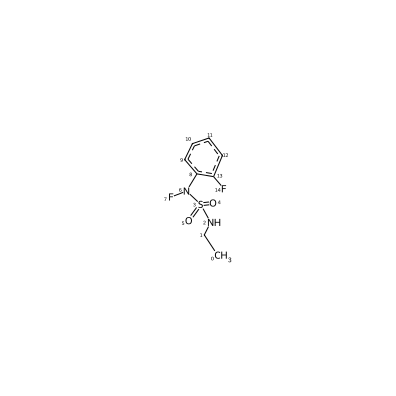 CCNS(=O)(=O)N(F)c1ccccc1F